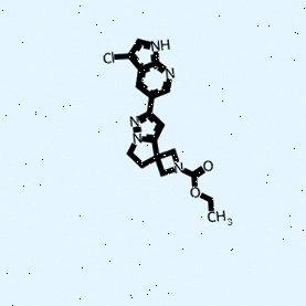 CCOC(=O)N1CC2(CCn3nc(-c4cnc5[nH]cc(Cl)c5c4)cc32)C1